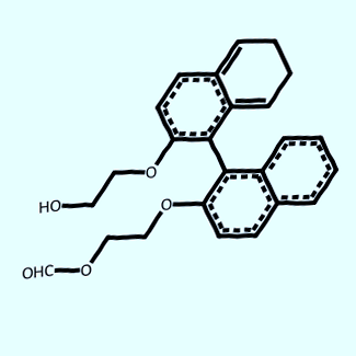 O=COCCOc1ccc2ccccc2c1-c1c(OCCO)ccc2c1=CCCC=2